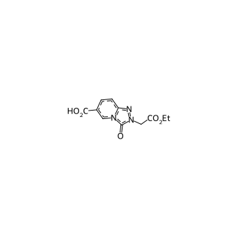 CCOC(=O)Cn1nc2ccc(C(=O)O)cn2c1=O